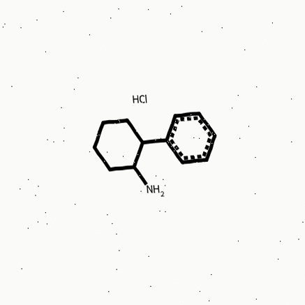 Cl.NC1CCCCC1c1ccccc1